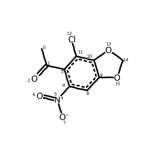 CC(=O)c1c([N+](=O)[O-])cc2c(c1Cl)OCO2